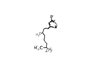 CC(C)CCCC(C)CCc1csc(Br)c1